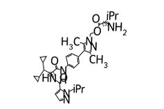 Cc1nn(COC(=O)[C@@H](N)C(C)C)c(C)c1-c1ccc(NC(=O)[C@@H](NC(=O)c2ccnn2C(C)C)C(C2CC2)C2CC2)cc1